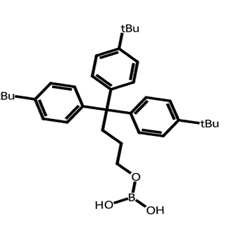 CC(C)(C)c1ccc(C(CCCOB(O)O)(c2ccc(C(C)(C)C)cc2)c2ccc(C(C)(C)C)cc2)cc1